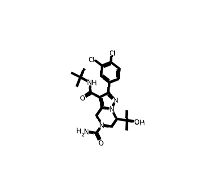 CC(C)(C)NC(=O)c1c(-c2ccc(Cl)c(Cl)c2)nn2c1CN(C(N)=O)CC2C(C)(C)O